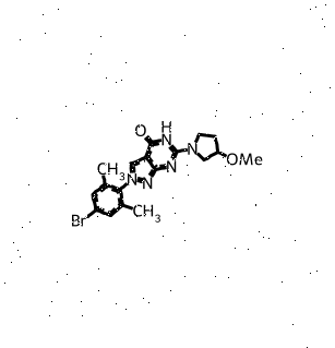 COC1CCN(c2nc3nn(-c4c(C)cc(Br)cc4C)cc3c(=O)[nH]2)C1